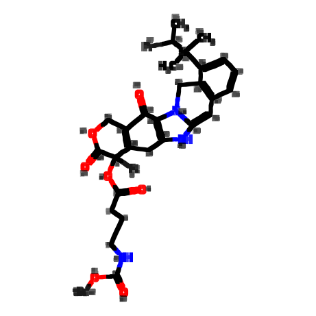 CCC1(OC(=O)CCCNC(=O)OC(C)(C)C)C(=O)OCC2=C1CC1=C(C2=O)N2Cc3c(cccc3[Si](C)(C)C(C)C(C)C)C=C2N1